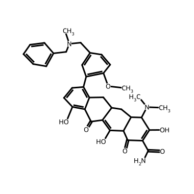 COc1ccc(CN(C)Cc2ccccc2)cc1-c1ccc(O)c2c1CC1CC3C(C(=O)C(C(N)=O)=C(O)C3N(C)C)C(O)=C1C2=O